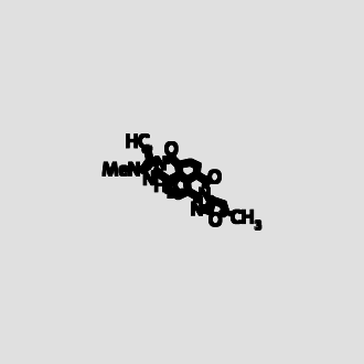 C#Cc1c(NC)nc2n1C(=O)C1CCC3C(=O)n4c(nc5c4C[C@@H](C)O5)C4CC[C@H]2C1C34C